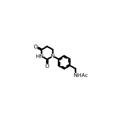 CC(=O)NCc1ccc(N2CCC(=O)NC2=O)cc1